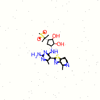 Cc1nc(N)nc(N[C@@H]2C[C@H](C(C)(C)S(C)(=O)=O)[C@@H](O)[C@H]2O)c1-c1nc2c(C)nccc2s1